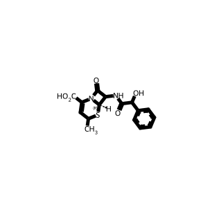 CC1C=C(C(=O)O)N2C(=O)C(NC(=O)C(O)c3ccccc3)[C@H]2S1